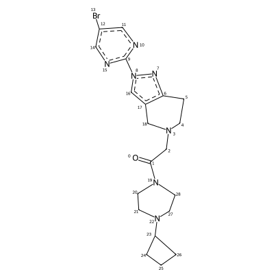 O=C(CN1CCc2nn(-c3ncc(Br)cn3)cc2C1)N1CCN(C2CCC2)CC1